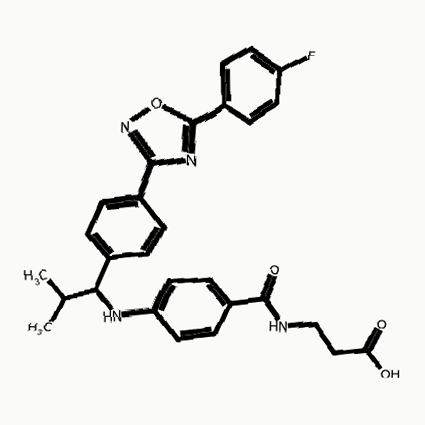 CC(C)C(Nc1ccc(C(=O)NCCC(=O)O)cc1)c1ccc(-c2noc(-c3ccc(F)cc3)n2)cc1